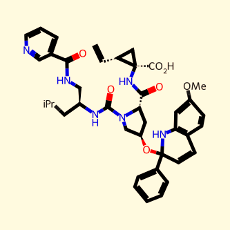 C=C[C@@H]1C[C@]1(NC(=O)[C@@H]1C[C@@H](OC2(c3ccccc3)C=Cc3ccc(OC)cc3N2)CN1C(=O)N[C@H](CNC(=O)c1cccnc1)CC(C)C)C(=O)O